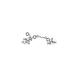 N=C(N)Nc1nc(-c2ccc(OCCCCCOc3ccc(C(=N)NO)cc3)cc2)c(Cc2ccccc2)s1